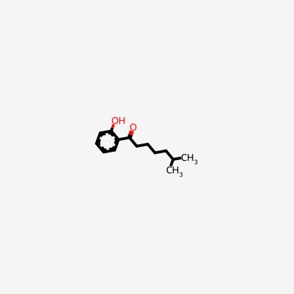 CC(C)CCCCC(=O)c1ccccc1O